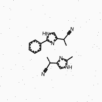 CC(C#N)c1c[nH]c(-c2ccccc2)n1.Cc1nc(C(C)C#N)c[nH]1